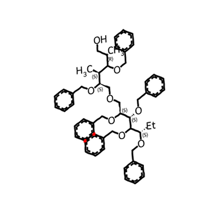 CC[C@H](OCc1ccccc1)C(OCc1ccccc1)[C@@H](OCc1ccccc1)[C@H](COC[C@@H](OCc1ccccc1)[C@@H](C)C(OCc1ccccc1)[C@H](C)CO)OCc1ccccc1